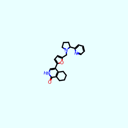 O=c1[nH]cc(-c2ccc(CN3CCCC3c3ccccn3)o2)c2c1CCCC2